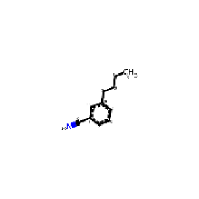 CCCCc1cc[c]c(C#N)c1